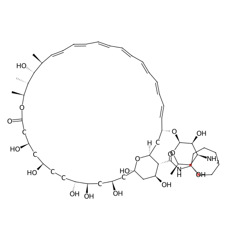 C[C@@H]1[C@H](O)[C@@H](C)/C=C/C=C/C=C/C=C/C=C/C=C/C=C/[C@H](O[C@@H]2O[C@H](C)[C@@H](O)[C@H](N)[C@@H]2O)C[C@@H]2O[C@](O)(C[C@@H](O)C[C@@H](O)[C@H](O)CC[C@@H](O)C[C@@H](O)CC(=O)O[C@H]1C)C[C@H](O)[C@H]2C(=O)NC1CCCCCC1